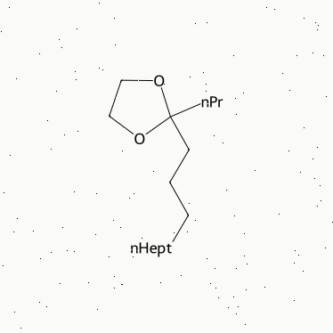 CCCCCCCCCCC1(CCC)OCCO1